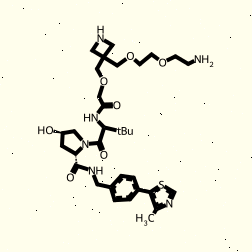 Cc1ncsc1-c1ccc(CNC(=O)[C@@H]2C[C@@H](O)CN2C(=O)C(NC(=O)COCC2(COCCOCCN)CNC2)C(C)(C)C)cc1